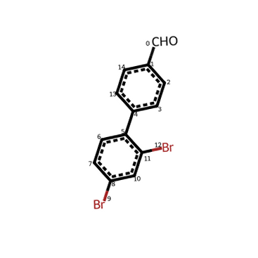 O=Cc1ccc(-c2ccc(Br)cc2Br)cc1